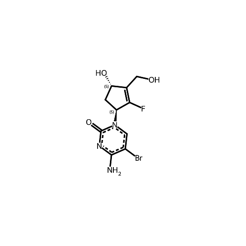 Nc1nc(=O)n([C@H]2C[C@H](O)C(CO)=C2F)cc1Br